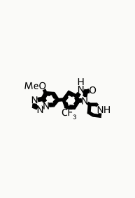 COc1cc(-c2cc3[nH]c(=O)n(C4CCCNC4)c3cc2C(F)(F)F)cn2ncnc12